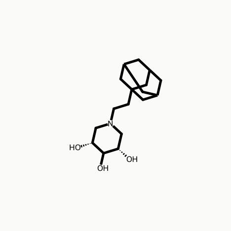 OC1[C@H](O)CN(CCC23CC4CC(CC(C4)C2)C3)C[C@@H]1O